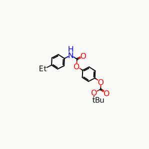 CCc1ccc(NC(=O)Oc2ccc(OC(=O)OC(C)(C)C)cc2)cc1